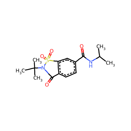 CC(C)NC(=O)c1ccc2c(c1)S(=O)(=O)N(C(C)(C)C)C2=O